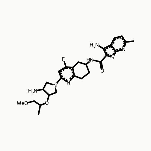 COCC(C)OC1CN(c2cc(F)c3c(n2)CCC(NC(=O)c2sc4nc(C)ccc4c2N)C3)CC1N